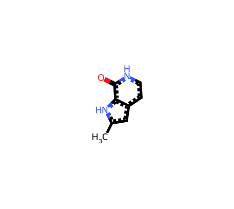 Cc1cc2cc[nH]c(=O)c2[nH]1